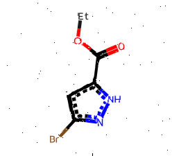 CCOC(=O)c1cc(Br)n[nH]1